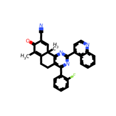 CC1=C2CCc3c(-c4ccccc4F)nc(-c4ccnc5ccccc45)nc3C2(C)C=C(C#N)C1=O